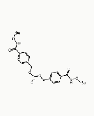 CC(C)(C)ONC(=O)c1ccc(CO[PH](=O)OCc2ccc(C(=O)NOC(C)(C)C)cc2)cc1